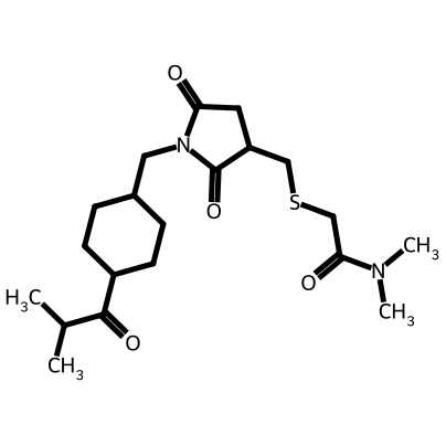 CC(C)C(=O)C1CCC(CN2C(=O)CC(CSCC(=O)N(C)C)C2=O)CC1